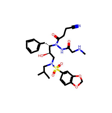 CNCC(=O)NN(C(=O)CCC#N)[C@@H](Cc1ccccc1)[C@H](O)CN(CC(C)C)S(=O)(=O)c1ccc2c(c1)OCO2